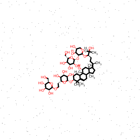 C[C@H](CC[C@@H](O[C@@H]1OC[C@@H](O)[C@H](O)[C@H]1O[C@H]1O[C@@H](CO)[C@H](O)[C@@H](O)[C@@H]1O)C(C)(C)O)C1CC[C@@]2(C)C3CC=C4C(CC[C@H](O[C@@H]5O[C@H](CCO[C@@H]6O[C@H](CO)[C@@H](O)[C@H](O)[C@H]6O)[C@@H](O)[C@H](O)[C@H]5O)C4(C)C)[C@]3(C)[C@H](O)C[C@]12C